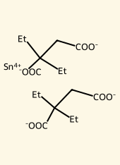 CCC(CC)(CC(=O)[O-])C(=O)[O-].CCC(CC)(CC(=O)[O-])C(=O)[O-].[Sn+4]